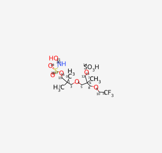 CC(C)(COCC(C)(COCC(F)(F)F)COS(=O)(=O)O)COS(=O)(=O)NO